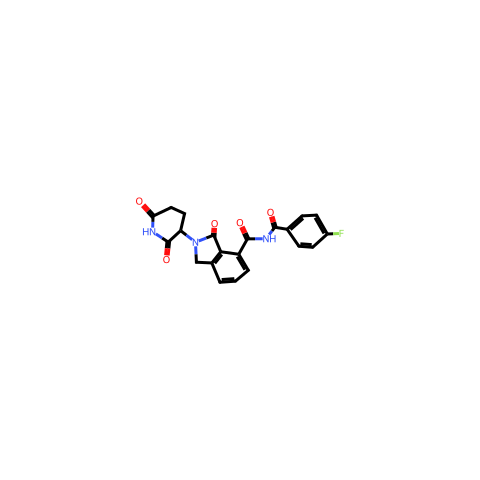 O=C1CCC(N2Cc3cccc(C(=O)NC(=O)c4ccc(F)cc4)c3C2=O)C(=O)N1